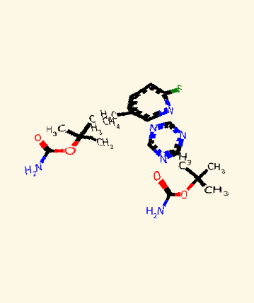 C.CC(C)(C)OC(N)=O.CC(C)(C)OC(N)=O.Cc1ccc(F)nc1.c1ncncn1